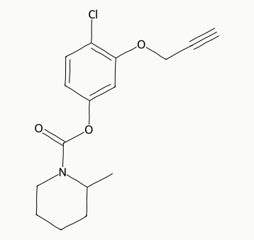 C#CCOc1cc(OC(=O)N2CCCCC2C)ccc1Cl